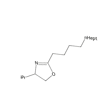 CCCCCCCCCCCC1=NC(C(C)C)CO1